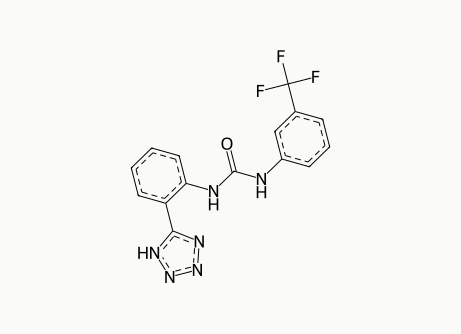 O=C(Nc1cccc(C(F)(F)F)c1)Nc1ccccc1-c1nnn[nH]1